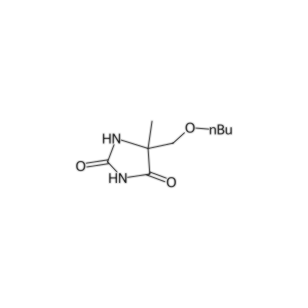 CCCCOCC1(C)NC(=O)NC1=O